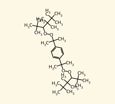 CC(C)(OOC(C(C)(C)C)C(C)(C)C(C)(C)C)c1ccc(C(C)(C)OOC(C(C)(C)C)C(C)(C)C(C)(C)C)cc1